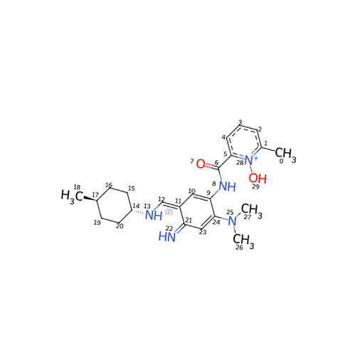 Cc1cccc(C(=O)NC2=C/C(=C/N[C@H]3CC[C@H](C)CC3)C(=N)C=C2N(C)C)[n+]1O